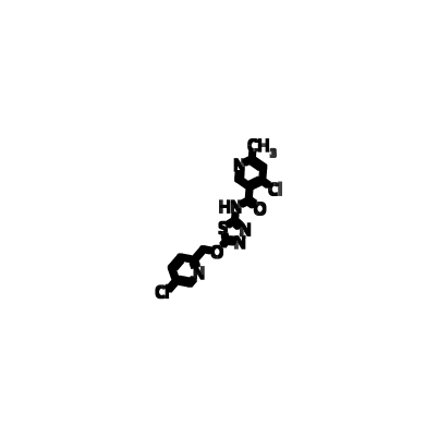 Cc1cc(Cl)c(C(=O)Nc2nnc(OCc3ccc(Cl)cn3)s2)cn1